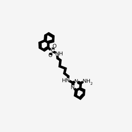 Nc1nc(NCCCCCCNS(=O)(=O)c2cccc3ccccc23)nc2ccccc12